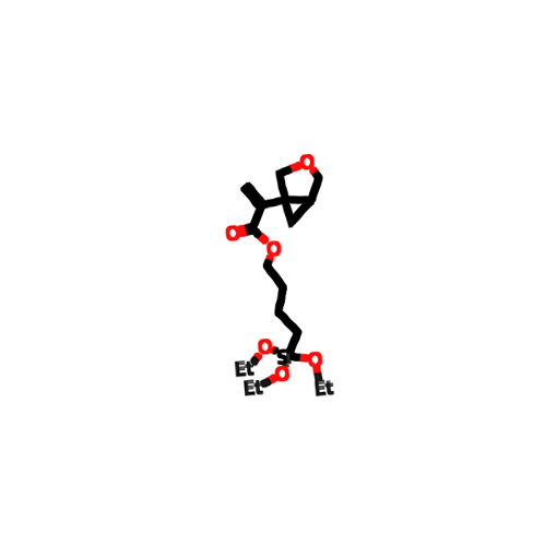 C=C(C(=O)OCCCC[Si](OCC)(OCC)OCC)C12COCC1C2